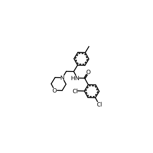 Cc1ccc(C(CN2CCOCC2)NC(=O)c2ccc(Cl)cc2Cl)cc1